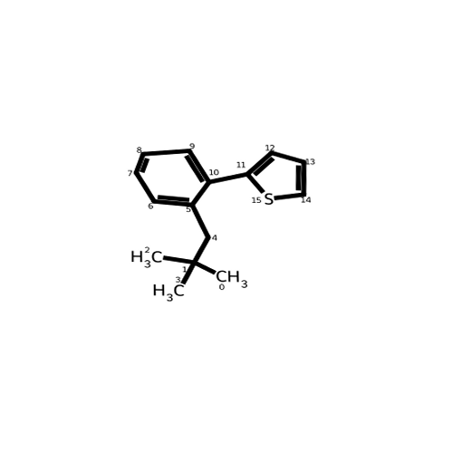 CC(C)(C)Cc1ccccc1-c1cccs1